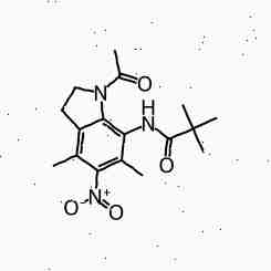 CC(=O)N1CCc2c(C)c([N+](=O)[O-])c(C)c(NC(=O)C(C)(C)C)c21